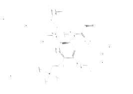 C=CC(=O)Nc1cc(N)c(OCC(F)(F)F)nc1N(C)CCN(C)C